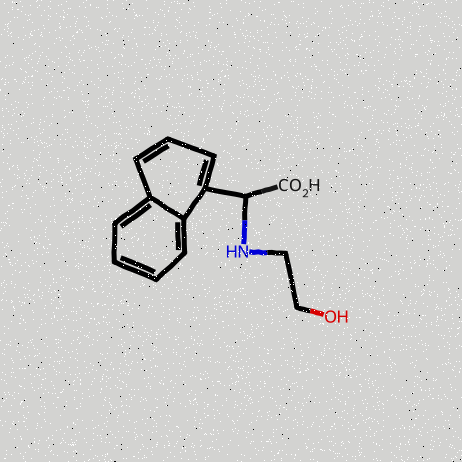 O=C(O)C(NCCO)c1cccc2ccccc12